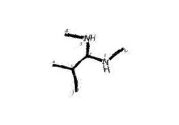 CNC(NC)C(C)C